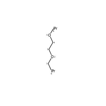 CC(C)COCCOC(C)C